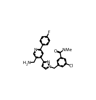 CNC(=O)c1cc(Cl)cc(Cn2ccc(-c3cc(-c4ccc(F)cc4)ncc3CN)n2)c1